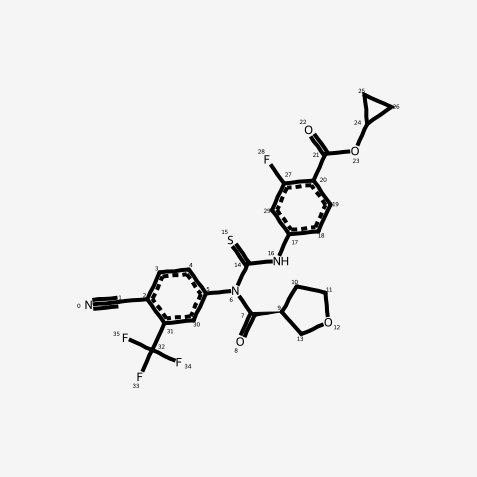 N#Cc1ccc(N(C(=O)[C@H]2CCOC2)C(=S)Nc2ccc(C(=O)OC3CC3)c(F)c2)cc1C(F)(F)F